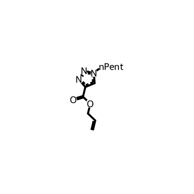 C=CCOC(=O)c1cn(CCCCC)nn1